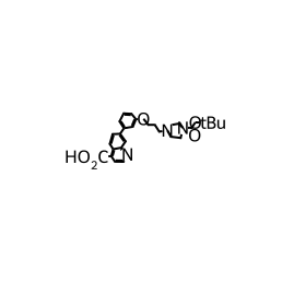 CC(C)(C)OC(=O)N1CCN(CCCOc2cccc(-c3ccc4c(C(=O)O)ccnc4c3)c2)CC1